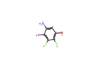 Nc1cc(Br)c(F)c(F)c1I